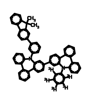 [2H]c1c([2H])c([2H])c(N2c3ccccc3-c3ccccc3-c3ccc(-c4ccc5c(c4)N(c4cccc(-c6ccc7c(c6)C(C)(C)c6ccccc6-7)c4)c4ccccc4-c4ccccc4-5)cc32)c([2H])c1[2H]